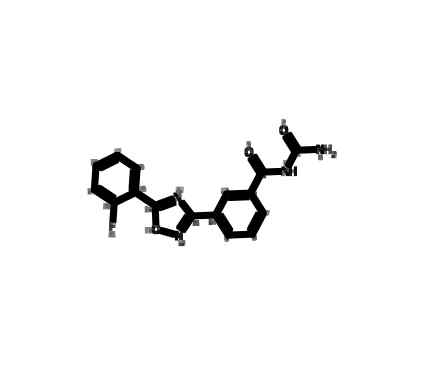 NC(=O)NC(=O)c1cccc(-c2noc(-c3ccccc3F)n2)c1